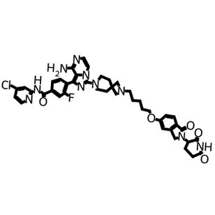 Nc1nccn2c(N3CCC4(CC3)CN(CCCCCOc3ccc5c(c3)CN(C3CCC(=O)NC3=O)C5=O)C4)nc(-c3ccc(C(=O)Nc4cc(Cl)ccn4)cc3F)c12